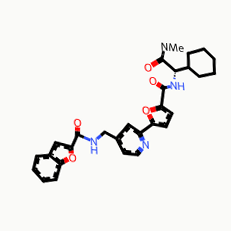 CNC(=O)[C@@H](NC(=O)c1ccc(-c2cc(CNC(=O)c3cc4ccccc4o3)ccn2)o1)C1CCCCC1